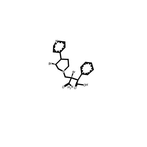 NC(=O)[C@](Br)(CN1CCC(c2ccncc2)[C@H](Br)C1)C(C(=O)O)c1ccccc1